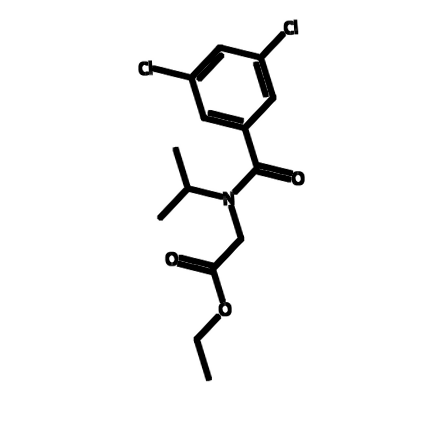 CCOC(=O)CN(C(=O)c1cc(Cl)cc(Cl)c1)C(C)C